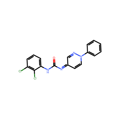 O=C(N=c1ccn(-c2ccccc2)nc1)Nc1cccc(Cl)c1Cl